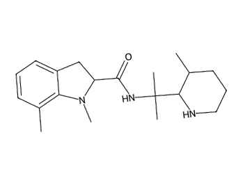 Cc1cccc2c1N(C)C(C(=O)NC(C)(C)C1NCCCC1C)C2